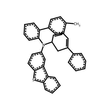 Cc1ccc(-c2ccccc2N(c2ccc3sc4ccccc4c3c2)C2C=CC=C(c3ccccc3)C2)cc1